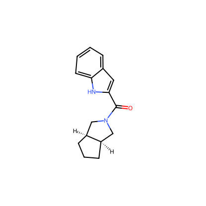 O=C(c1cc2ccccc2[nH]1)N1C[C@H]2CCC[C@H]2C1